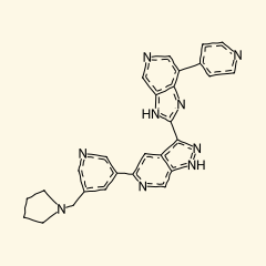 c1cc(-c2cncc3[nH]c(-c4n[nH]c5cnc(-c6cncc(CN7CCCC7)c6)cc45)nc23)ccn1